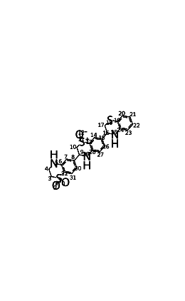 O=S1(=O)CCNc2cc(C3C[S+]([O-])c4cc(C5CSc6ccccc6N5)ccc4N3)ccc21